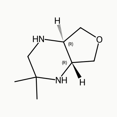 CC1(C)CN[C@H]2COC[C@@H]2N1